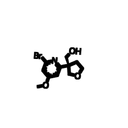 COc1cc(Br)nc([C@]2(CO)CCOC2)c1